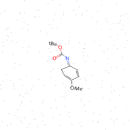 COC1=CC/C(=N\C(=O)OC(C)(C)C)C=C1